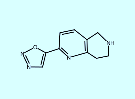 c1cc2c(nc1-c1cnno1)CCNC2